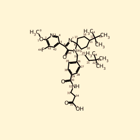 COc1ncc(C2=NC3(CCC(C(C)(C)C)CC3)N([C@H](CCC(C)(C)C)c3ccc(C(=O)NCCC(=O)O)cc3)C2=O)cc1F